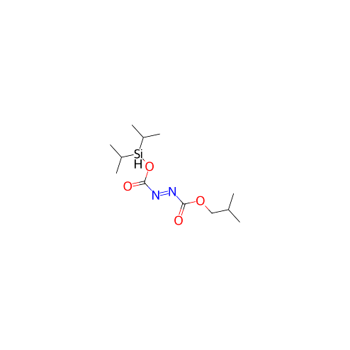 CC(C)COC(=O)N=NC(=O)O[SiH](C(C)C)C(C)C